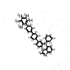 [2H]c1c([2H])c([2H])c(-c2ccc(-c3ccc(-c4ccc5c(c4)N(c4ccccc4)c4cccc6nc(C)n-5c46)cc3)cc2)c([2H])c1[2H]